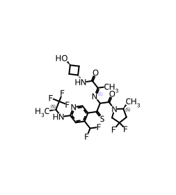 C/C(=N\C(C(=O)N1CC(F)(F)C[C@@H]1C)C(=S)c1cnc(N[C@@H](C)C(F)(F)F)cc1C(F)F)C(=O)N[C@H]1C[C@H](O)C1